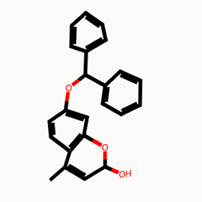 CC1=CC(O)Oc2cc(OC(c3ccccc3)c3ccccc3)ccc21